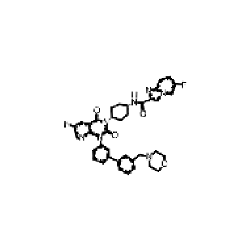 O=C(N[C@H]1CC[C@@H](n2c(=O)c3cc(F)cnc3n(-c3cccc(-c4cccc(CN5CCOCC5)c4)c3)c2=O)CC1)c1cn2cc(F)ccc2n1